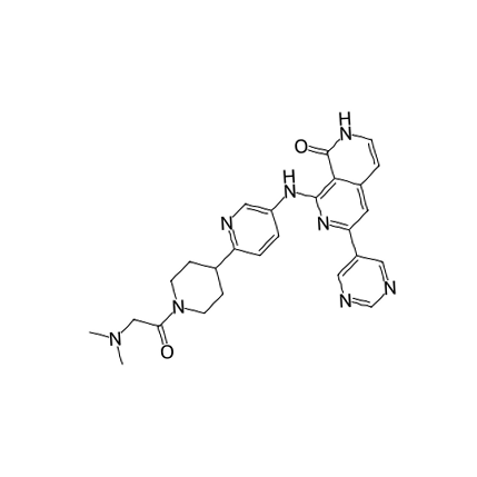 CN(C)CC(=O)N1CCC(c2ccc(Nc3nc(-c4cncnc4)cc4cc[nH]c(=O)c34)cn2)CC1